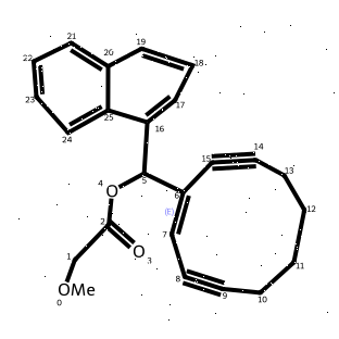 COCC(=O)OC(/C1=C/C#CCCCCC#C1)c1cccc2ccccc12